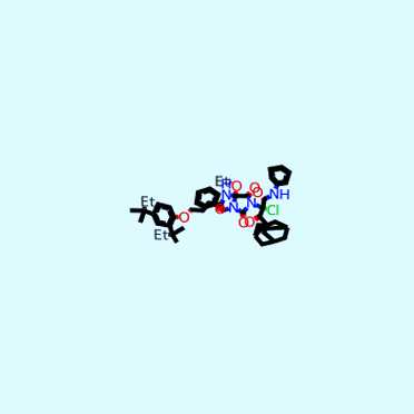 CCOC1(NC(=O)CCCOc2ccc(C(C)(C)CC)cc2C(C)(C)CC)C(=O)N(C(Cl)(C(=O)Nc2ccccc2)C(=O)C23CC4CC(CC(C4)C2)C3)C(=O)N1Cc1ccccc1